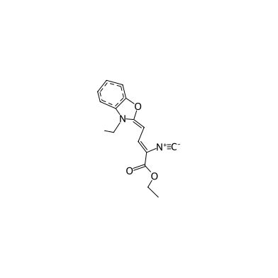 [C-]#[N+]C(=CC=C1Oc2ccccc2N1CC)C(=O)OCC